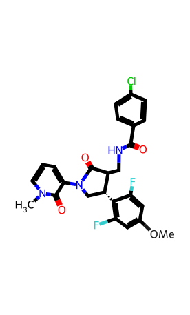 COc1cc(F)c([C@@H]2CN(c3cccn(C)c3=O)C(=O)C2CNC(=O)c2ccc(Cl)cc2)c(F)c1